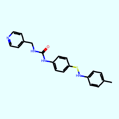 Cc1ccc(NSc2ccc(NC(=O)NCc3ccncc3)cc2)cc1